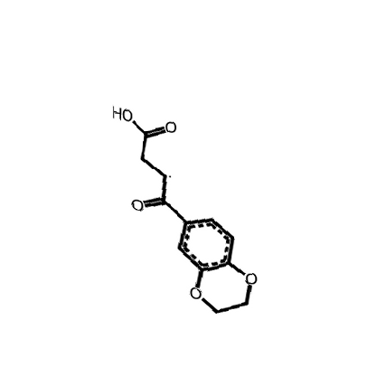 O=C(O)C[CH]C(=O)c1ccc2c(c1)OCCO2